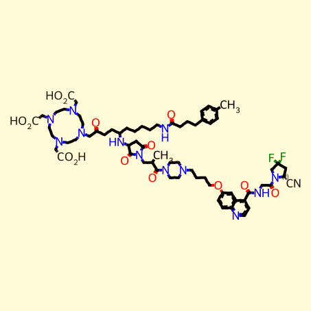 Cc1ccc(CCCC(=O)NCCCCCC(CCC(=O)CN2CCN(CC(=O)O)CCN(CC(=O)O)CCN(CC(=O)O)CC2)NC2CC(=O)N(CC(C)C(=O)N3CCN(CCCCOc4ccc5nccc(C(=O)NCC(=O)N6CC(F)(F)C[C@@H]6C#N)c5c4)CC3)C2=O)cc1